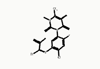 C=C(C)C(CC)Sc1cc(N2C(=C)C(C)=C(C(F)(F)F)N(C)C2=C)c(F)cc1Cl